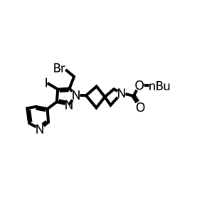 CCCCOC(=O)N1CC2(CC(n3nc(-c4cccnc4)c(I)c3CBr)C2)C1